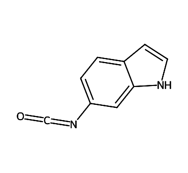 O=C=Nc1ccc2cc[nH]c2c1